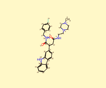 CN1CCN(CCNC(=O)CC(C(=O)NCc2ccc(F)cc2)c2ccc3c(c2)[nH]c2ccccc23)CC1